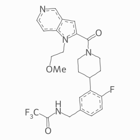 COCCn1c(C(=O)N2CCC(c3cc(CNC(=O)C(F)(F)F)ccc3F)CC2)cc2cnccc21